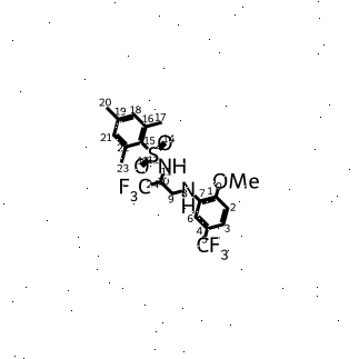 COc1ccc(C(F)(F)F)cc1NCC(NS(=O)(=O)c1c(C)cc(C)cc1C)C(F)(F)F